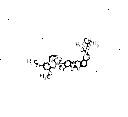 COc1ccc(CN(c2nccs2)S(=O)(=O)c2ccc3c(oc(=O)n3Cc3cccc4c3CN(C(=O)OC(C)(C)C)CC4)c2F)c(OC)c1